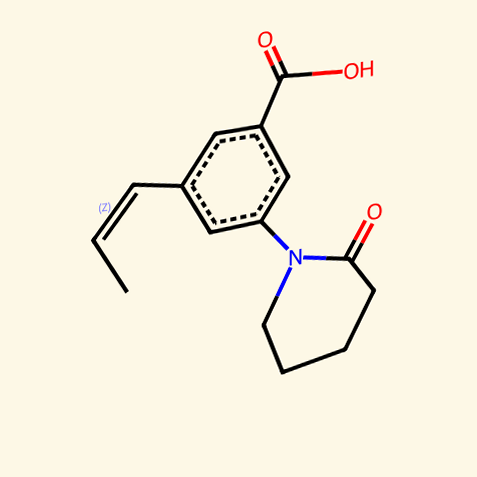 C/C=C\c1cc(C(=O)O)cc(N2CCCCC2=O)c1